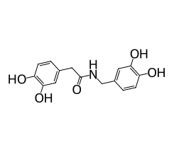 O=C(Cc1ccc(O)c(O)c1)NCc1ccc(O)c(O)c1